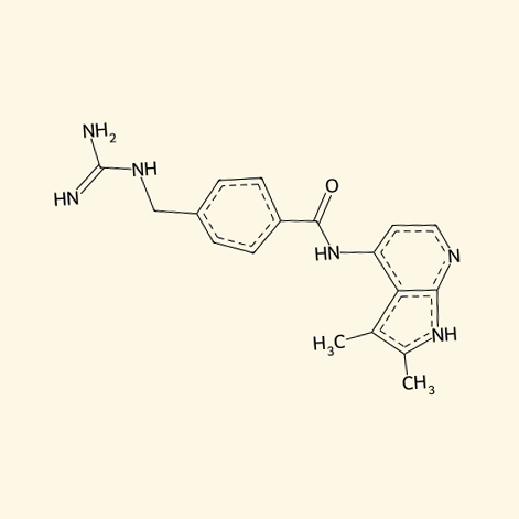 Cc1[nH]c2nccc(NC(=O)c3ccc(CNC(=N)N)cc3)c2c1C